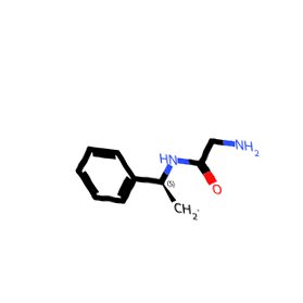 [CH2][C@H](NC(=O)CN)c1ccccc1